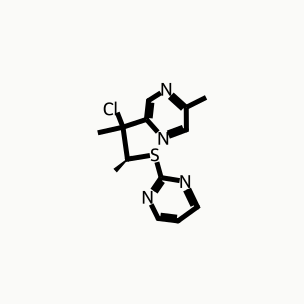 Cc1cnc(C(C)(Cl)[C@H](C)Sc2ncccn2)cn1